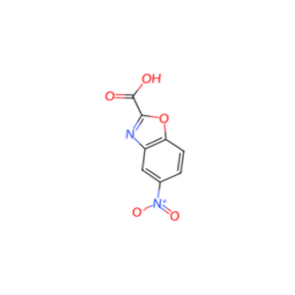 O=C(O)c1nc2cc([N+](=O)[O-])ccc2o1